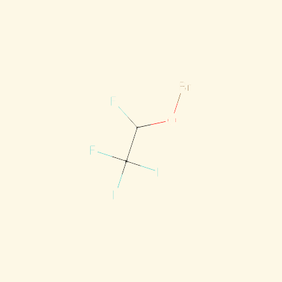 FC(OBr)C(F)(F)F